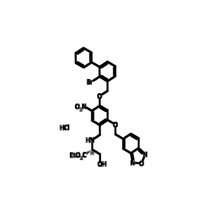 CCOC(=O)[C@@H](CO)NCc1cc([N+](=O)[O-])c(OCc2cccc(-c3ccccc3)c2Br)cc1OCc1ccc2nonc2c1.Cl